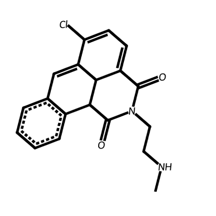 CNCCN1C(=O)C2=CC=C(Cl)C3=Cc4ccccc4C(C1=O)C23